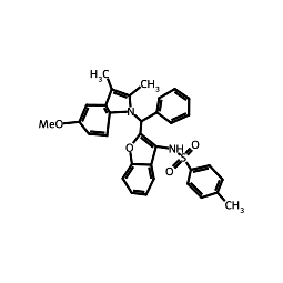 COc1ccc2c(c1)c(C)c(C)n2C(c1ccccc1)c1oc2ccccc2c1NS(=O)(=O)c1ccc(C)cc1